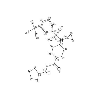 O=C(CNC1CCCC1)N1CCC(N(C2CC2)S(=O)(=O)c2cccc(C(F)(F)F)c2)CC1